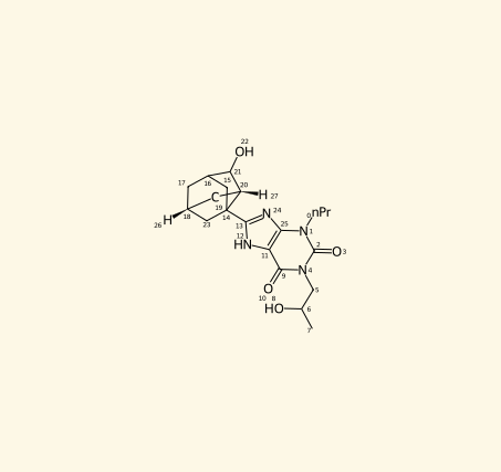 CCCn1c(=O)n(CC(C)O)c(=O)c2[nH]c(C34CC5C[C@H](C[C@@H]3C5O)C4)nc21